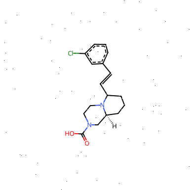 O=C(O)N1CCN2C(C=Cc3cccc(Cl)c3)CCC[C@H]2C1